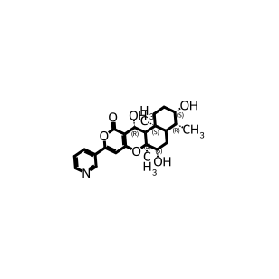 C[C@@H]1C2C[C@H](O)[C@@]3(C)Oc4cc(-c5cccnc5)oc(=O)c4[C@H](O)C3[C@@]2(C)CC[C@@H]1O